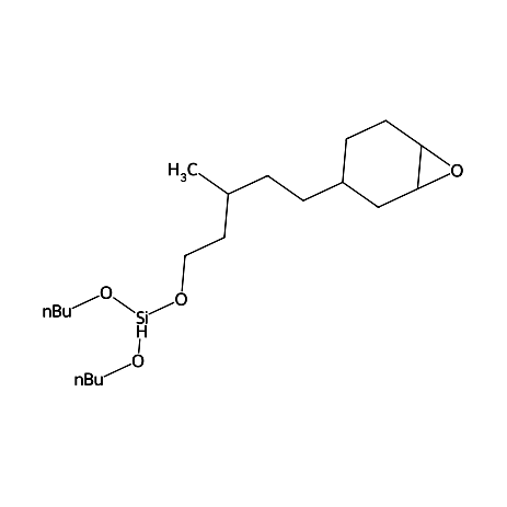 CCCCO[SiH](OCCCC)OCCC(C)CCC1CCC2OC2C1